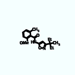 CCC(C)(CC)c1cc(NC(=O)c2c(C)cccc2OC)on1